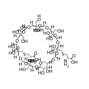 N[C@H](CSCC1O[C@H]2O[C@@H]3C(CO)O[C@H](O[C@@H]4C(CO)O[C@H](O[C@@H]5C(CO)O[C@H](O[C@@H]6C(CSC[C@@H](N)C(=O)O)O[C@H](O[C@@H]7CO[C@@H](O[C@@H]8C(CO)O[C@@H](O[C@H]1C(O)[C@@H]2O)[C@@H](O)C8O)C(O)[C@H]7O)C(O)[C@H]6O)C(O)[C@H]5O)[C@@H](O)C4O)[C@@H](O)C3O)C(=O)O